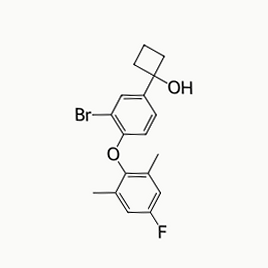 Cc1cc(F)cc(C)c1Oc1ccc(C2(O)CCC2)cc1Br